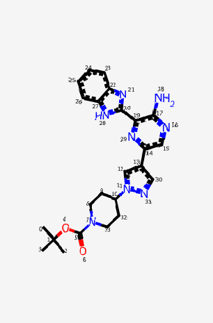 CC(C)(C)OC(=O)N1CCC(n2cc(-c3cnc(N)c(-c4nc5ccccc5[nH]4)n3)cn2)CC1